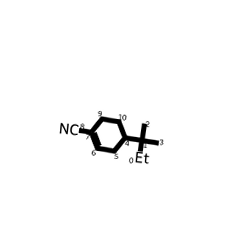 CCC(C)(C)C1CC=C(C#N)CC1